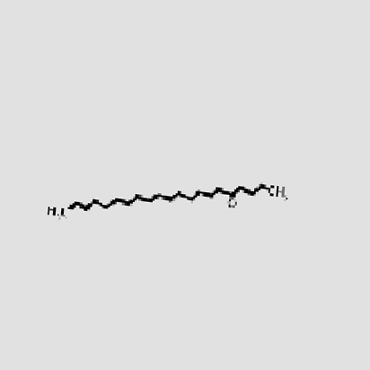 CCCCCCCCCCCCCCCCC(=O)CCCC